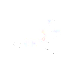 CC1=CC(c2cccc([N+](=O)[O-])c2)C(C(=O)OCCN2CCN(c3ccccc3)CC2)C(C)(c2cccnc2)N1